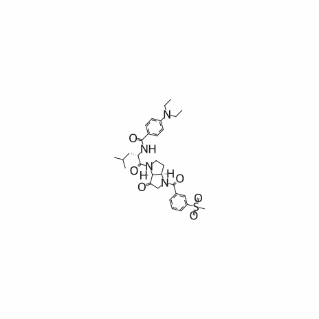 CCN(CC)c1ccc(C(=O)N[C@@H](CC(C)C)C(=O)N2CC[C@@H]3[C@H]2C(=O)CN3C(=O)c2cccc(S(C)(=O)=O)c2)cc1